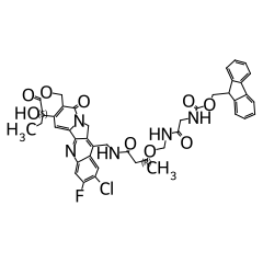 CC[C@@]1(O)C(=O)OCc2c1cc1n(c2=O)Cc2c-1nc1cc(F)c(Cl)cc1c2CNC(=O)C[C@@H](C)OCNC(=O)CNC(=O)OCC1c2ccccc2-c2ccccc21